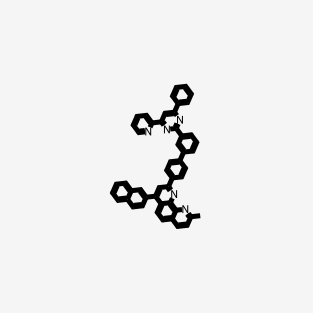 Cc1ccc2ccc3c(-c4ccc5ccccc5c4)cc(-c4ccc(-c5cccc(-c6nc(-c7ccccc7)cc(-c7ccccn7)n6)c5)cc4)nc3c2n1